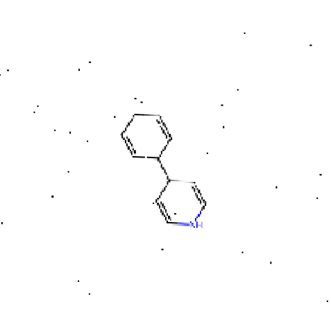 C1=CC(C2C=CNC=C2)C=CC1